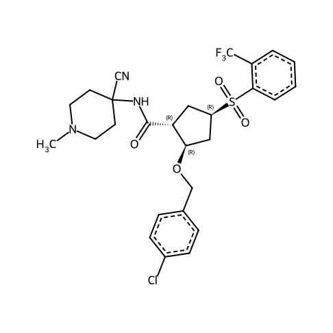 CN1CCC(C#N)(NC(=O)[C@@H]2C[C@@H](S(=O)(=O)c3ccccc3C(F)(F)F)C[C@H]2OCc2ccc(Cl)cc2)CC1